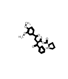 COc1ccc(C(=O)CC(C(=O)c2ccccc2)C(=S)OC(=O)[C@@H]2CCCN2)cc1OC